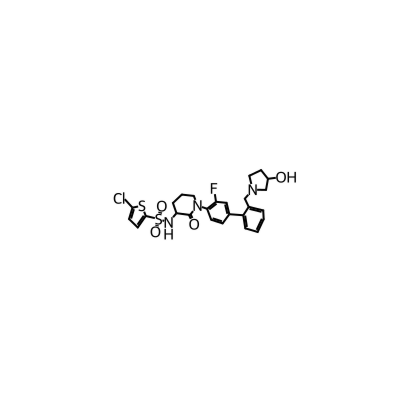 O=C1C(NS(=O)(=O)c2ccc(Cl)s2)CCCN1c1ccc(-c2ccccc2CN2CCC(O)C2)cc1F